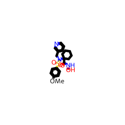 COc1ccc(S(=O)(=O)N(Cc2cccnc2)C2(C(=O)NO)CCCCC2)cc1